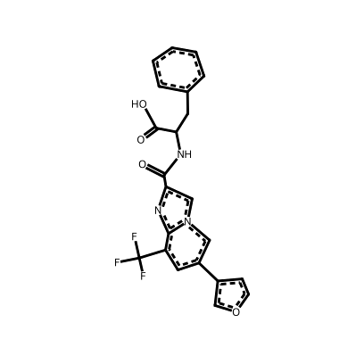 O=C(NC(Cc1ccccc1)C(=O)O)c1cn2cc(-c3ccoc3)cc(C(F)(F)F)c2n1